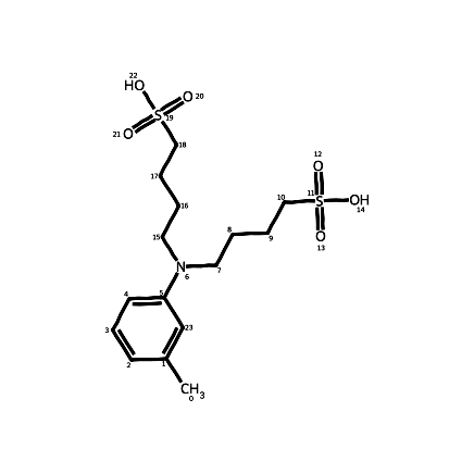 Cc1cccc(N(CCCCS(=O)(=O)O)CCCCS(=O)(=O)O)c1